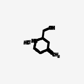 C=C1CCNC(CO)C1.Cl